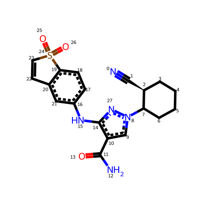 N#C[C@H]1CCCCC1n1cc(C(N)=O)c(Nc2ccc3c(c2)C=CS3(=O)=O)n1